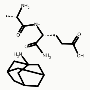 C[C@H](N)C(=O)N[C@H](CCC(=O)O)C(N)=O.NC12CC3CC(CC(C3)C1)C2